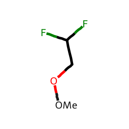 COOCC(F)F